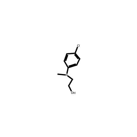 CN(CCO)c1ccc(Cl)cc1